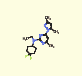 CCN(c1nc(C)cc(-n2nc(C)cc2C)n1)C1CCC(F)(F)CC1